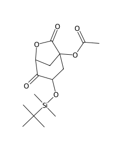 CC(=O)OC12CC(OC1=O)C(=O)C(O[Si](C)(C)C(C)(C)C)C2